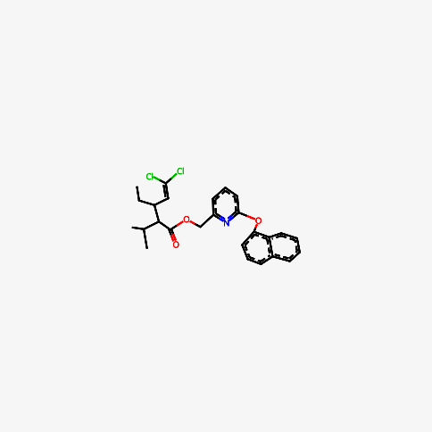 CCC(C=C(Cl)Cl)C(C(=O)OCc1cccc(Oc2cccc3ccccc23)n1)C(C)C